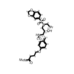 CNC(=O)CCCOc1ccc(C[C@H](NC(=O)O)[C@@H](O)CN(CC(C)C)S(=O)(=O)c2ccc3c(c2)OCO3)cc1